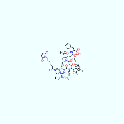 CC[C@H](C)[C@@H]([C@@H](CC(=O)N1CCCC1[C@H](OC)[C@@H](C)C(=O)NC(Cc1ccccc1)C(=O)O)OC)N(C)C(=O)C(N=C(N(C)C)N1CCN(C(=O)CCCCCN2C(=O)C=CC2=O)CC1)C(C)C